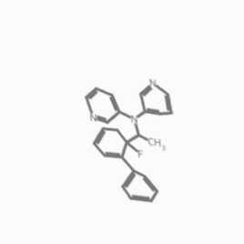 CC(N(c1cccnc1)c1cccnc1)C1(F)CC=CC=C1c1ccccc1